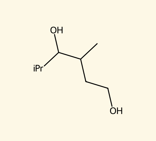 CC(C)C(O)C(C)CCO